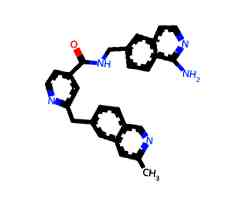 Cc1cc2cc(Cc3cc(C(=O)NCc4ccc5c(N)nccc5c4)ccn3)ccc2cn1